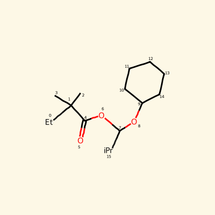 CCC(C)(C)C(=O)OC(OC1CCCCC1)C(C)C